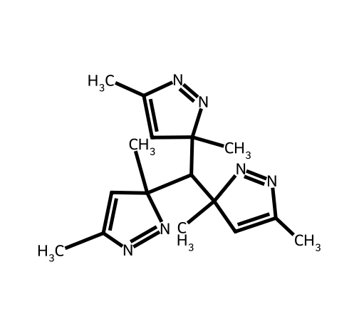 CC1=CC(C)(C(C2(C)C=C(C)N=N2)C2(C)C=C(C)N=N2)N=N1